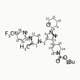 C[C@@H]1CN(Cc2cn(C3CCCCO3)nc2C2=CCN(C(=O)OC(C)(C)C)CC2)CCN1c1ccc(C(F)(F)F)cn1